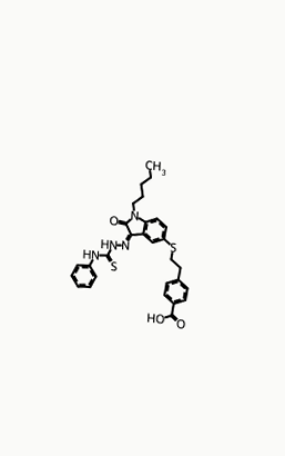 CCCCCN1C(=O)/C(=N\NC(=S)Nc2ccccc2)c2cc(SCCc3ccc(C(=O)O)cc3)ccc21